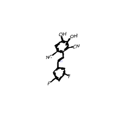 N#Cc1cc(O)c(O)c(C#N)c1/C=C/c1cc(F)cc(F)c1